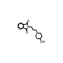 O=C1c2ccccc2C(=O)N1CCCN1CCC(O)CC1